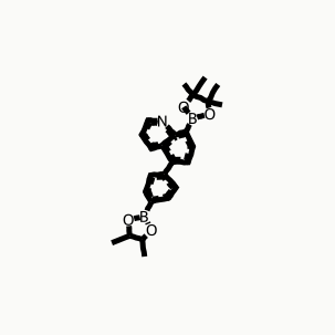 CC1OB(c2ccc(-c3ccc(B4OC(C)(C)C(C)(C)O4)c4ncccc34)cc2)OC1C